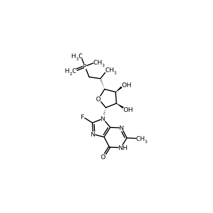 C=P(C)(C)CC(C)[C@H]1O[C@@H](n2c(F)nc3c(=O)[nH]c(C)nc32)[C@H](O)[C@@H]1O